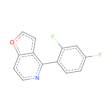 Fc1ccc(-c2nccc3occc23)c(F)c1